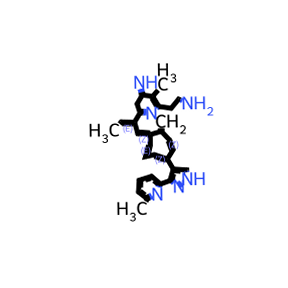 C=C1\C=C/C(c2c[nH]nc2-c2cccc(C)n2)=C/C=C/C1=C/C(=C\C)C1=NC(CCN)=C(C)C(=N)C1